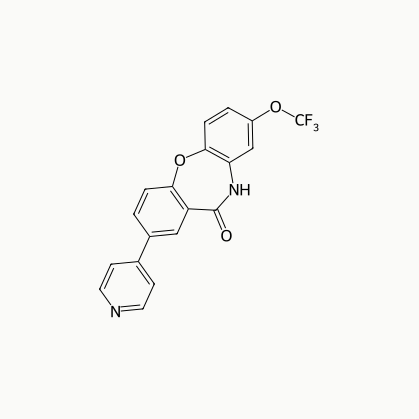 O=C1Nc2cc(OC(F)(F)F)ccc2Oc2ccc(-c3ccncc3)cc21